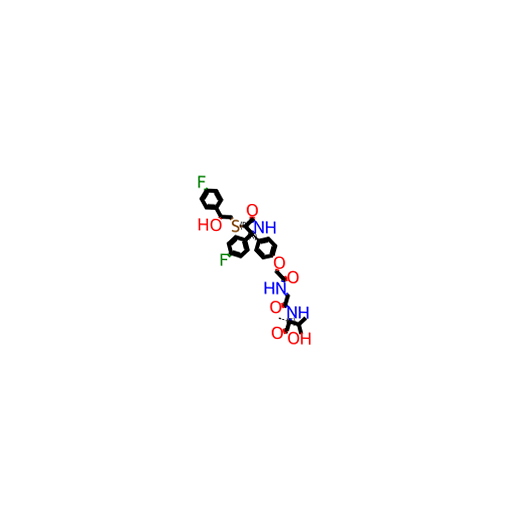 CC(C)[C@](C)(NC(=O)CNC(=O)COc1ccc([C@]2(c3ccc(F)cc3)NC(=O)[C@@H]2SCC(O)c2ccc(F)cc2)cc1)C(=O)O